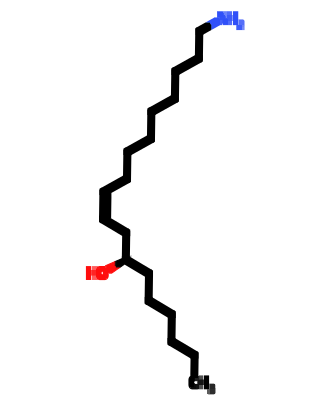 CCCCCC[C@@H](O)C/C=C\CCCCCCCCN